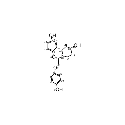 Oc1ccc(OCC(Oc2ccc(O)cc2)N2CCC(O)CC2)cc1